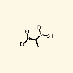 CCN(S)C(C)N(CC)CC